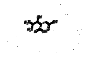 CC(C)C(O)[C@H](CC(=O)O)C(=O)O